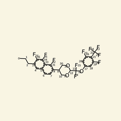 CCCc1cc2ccc(C3COC(C(F)(F)Oc4cc(F)c(C(F)(F)F)c(F)c4)OC3)c(F)c2c(F)c1F